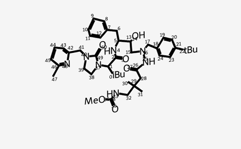 CCC(C)C(C(=O)NC(Cc1ccccc1)C(O)CN(Cc1ccc(C(C)(C)C)cc1)NC(=O)CC(C)(C)CNC(=O)OC)N1CCN(Cc2cccc(C)n2)C1=O